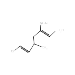 CCC=CC(C)CC(=CC(=O)O)NC(C)=O